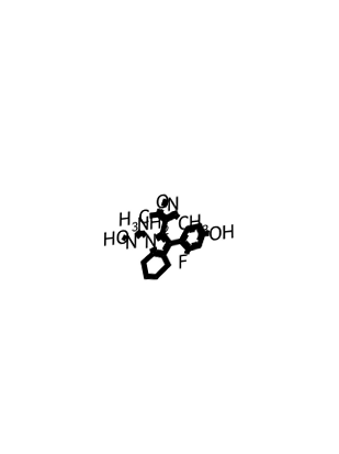 Cc1noc(C)c1-c1c(-c2ccc(O)cc2F)c2c(n1/C(N)=N/O)CCCC2